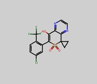 O=S1(=O)C(c2cc(Cl)ccc2C(F)(F)F)=C(O)c2nccnc2C12CC2